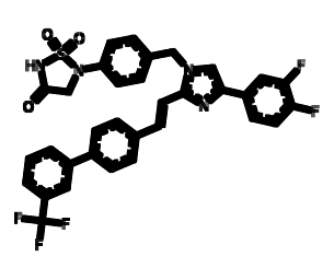 O=C1CN(c2ccc(Cn3cc(-c4ccc(F)c(F)c4)nc3/C=C/c3ccc(-c4cccc(C(F)(F)F)c4)cc3)cc2)S(=O)(=O)N1